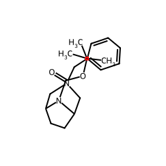 CC(C)(C)OC(=O)N1C2CCC1CN(Cc1ccccc1)C2